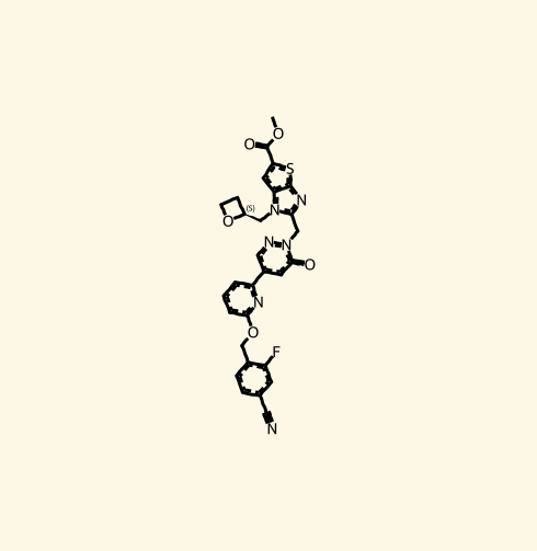 COC(=O)c1cc2c(nc(Cn3ncc(-c4cccc(OCc5ccc(C#N)cc5F)n4)cc3=O)n2C[C@@H]2CCO2)s1